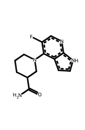 NC(=O)C1CCCN(c2c(F)cnc3[nH]ccc23)C1